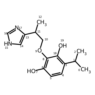 CC(C)c1ccc(O)c(OCC(C)c2c[nH]cn2)c1O